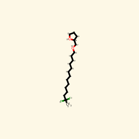 FC(F)(F)C(F)(F)CCCCCCCCCCCCOCC1CCCO1